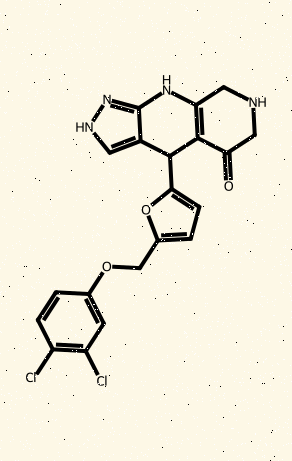 O=C1CNCC2=C1C(c1ccc(COc3ccc(Cl)c(Cl)c3)o1)c1c[nH]nc1N2